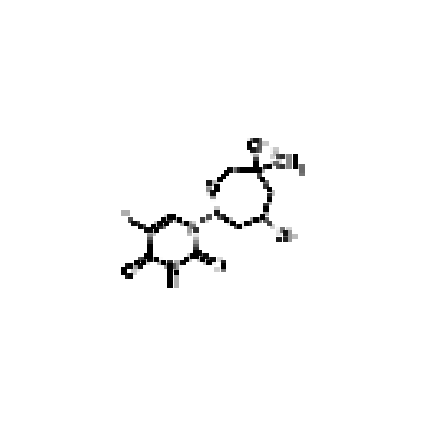 CC1(C)CO[C@@H](n2cc(F)c(=O)[nH]c2=O)C[C@@H](O)C1